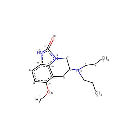 CCCN(CCC)C1Cc2c(OC)ccc3[nH]c(=O)n(c23)C1